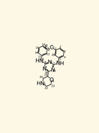 FC(F)(F)c1cccc(Nc2nc(Nc3ccccc3)nc(C3CNCCO3)n2)c1